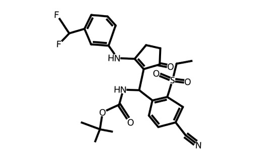 CCS(=O)(=O)c1cc(C#N)ccc1C(NC(=O)OC(C)(C)C)C1=C(Nc2cccc(C(F)F)c2)CCC1=O